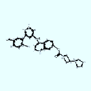 O=C(Oc1ccc2c(Nc3cnnc(-c4cc(Cl)ccc4F)c3)ccnc2c1)N1CC(N2CCCC2)C1